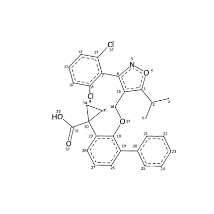 CC(C)c1onc(-c2c(Cl)cccc2Cl)c1COc1c(-c2ccccc2)cccc1C1(C(=O)O)CC1